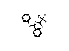 FC(F)(F)c1nc(Sc2ccccc2)c2ccccc2n1